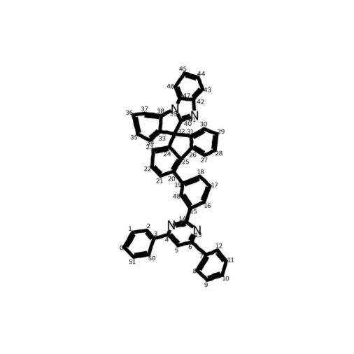 c1ccc(-c2cc(-c3ccccc3)nc(-c3cccc(-c4cccc5c4-c4ccccc4C54c5ccccc5-n5c4nc4ccccc45)c3)n2)cc1